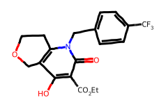 CCOC(=O)c1c(O)c2c(n(Cc3ccc(C(F)(F)F)cc3)c1=O)CCOC2